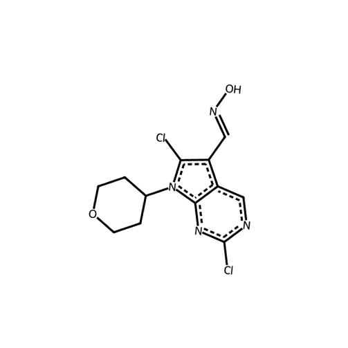 ON=Cc1c(Cl)n(C2CCOCC2)c2nc(Cl)ncc12